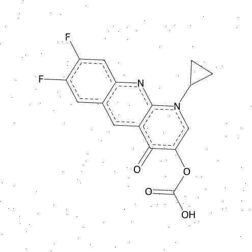 O=C(O)Oc1cn(C2CC2)c2nc3cc(F)c(F)cc3cc2c1=O